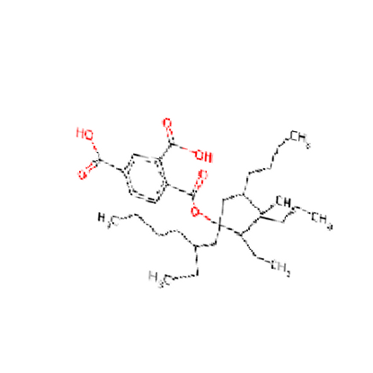 CCCCC(CC)CC(CC(CC)CCCC)(OC(=O)c1ccc(C(=O)O)cc1C(=O)O)C(CC)CCCC